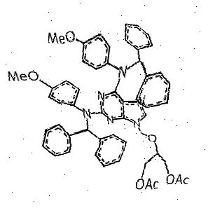 COc1ccc(N(c2nc(N(c3ccc(OC)cc3)C(c3ccccc3)c3ccccc3)c3ncn(COC(COC(C)=O)COC(C)=O)c3n2)C(c2ccccc2)c2ccccc2)cc1